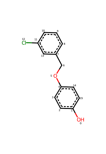 Oc1ccc(OCc2cccc(Cl)c2)cc1